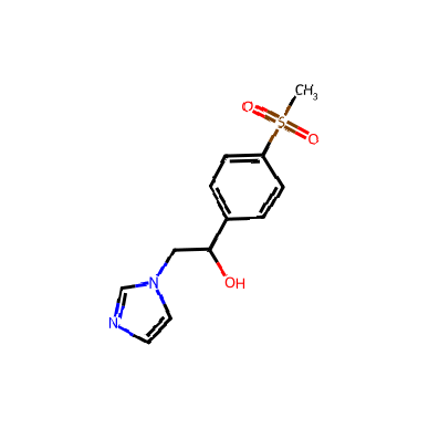 CS(=O)(=O)c1ccc(C(O)Cn2ccnc2)cc1